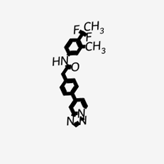 Cc1cc(NC(=O)Cc2ccc(-c3ccn4ncnc4c3)cc2)ccc1C(C)(F)F